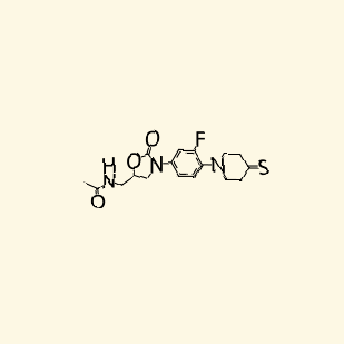 CC(=O)NCC1CN(c2ccc(N3CCC(=S)CC3)c(F)c2)C(=O)O1